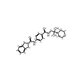 CC(C)(CNC(=O)c1ccc(NC(=O)N2Cc3ccccc3C2)cc1)N1CCOCC1